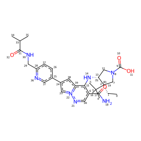 CC[C@@]1(C(C)(C)C)CN(C(=O)O)C[C@H]1Nc1c(C(N)=O)cnn2cc(-c3ccc(CNC(=O)C(C)C)nc3)cc12